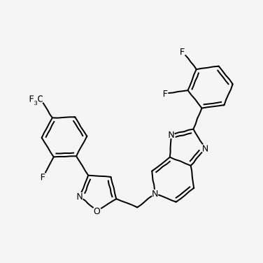 Fc1cc(C(F)(F)F)ccc1-c1cc(Cn2ccc3nc(-c4cccc(F)c4F)nc-3c2)on1